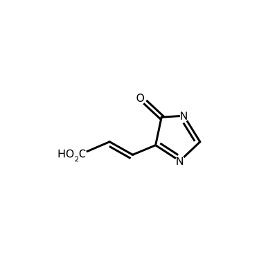 O=C(O)C=CC1=NC=NC1=O